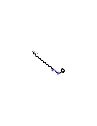 C[N+](C)(CCNCCCCCCCCCCCCCCCC[SiH3])Cc1ccccc1